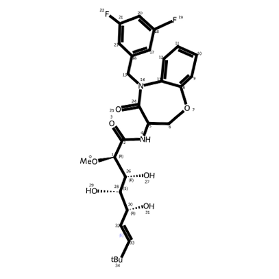 CO[C@@H](C(=O)NC1COc2ccccc2N(Cc2cc(F)cc(F)c2)C1=O)[C@H](O)[C@@H](O)[C@H](O)/C=C/C(C)(C)C